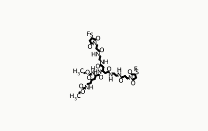 CCOC(=O)NCCCCC(NC(=O)OCC)C(=O)NC(CC(=O)NCCNC(=O)CCN1C(=O)CC(SF)C1=O)CC(=O)NCCNC(=O)CCN1C(=O)CC(SF)C1=O